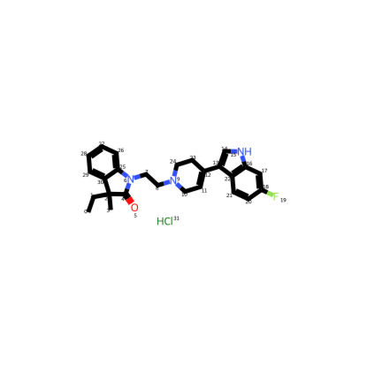 CCC1(C)C(=O)N(CCN2CC=C(c3c[nH]c4cc(F)ccc34)CC2)c2ccccc21.Cl